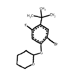 CC(C)(C)c1cc(Br)c(OC2CCCCO2)cc1F